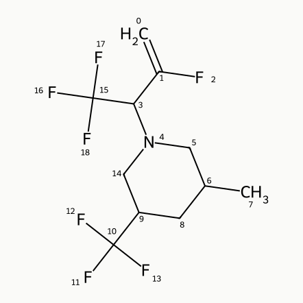 C=C(F)C(N1CC(C)CC(C(F)(F)F)C1)C(F)(F)F